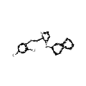 Clc1ccc(CCc2nccn2Sc2ccc3ccccc3c2)c(Cl)c1